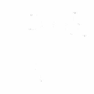 COc1cc(Cc2cnc(N)nc2N)cc(C(=O)/C=C/N2Cc3ccccc3CN2CCCO)c1OC